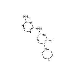 Nc1cc(Nc2ccc(N3CCOCC3)c(Cl)c2)ncn1